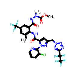 COC(=O)N(C)NC(=O)c1cc(C(F)(F)F)cc(C)c1NC(=O)c1cc(Cn2nnc(C(F)(F)C(F)(F)F)n2)nn1-c1ncccc1Cl